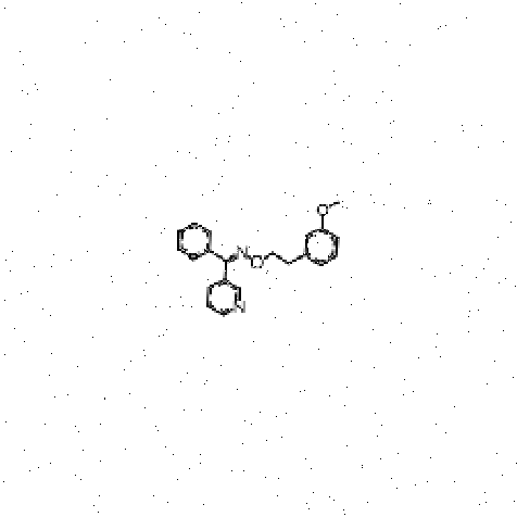 COc1cccc(CCON=C(c2ccccc2)c2cccnc2)c1